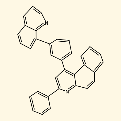 c1ccc(-c2cc(-c3cccc(-c4cccc5cccnc45)c3)c3c(ccc4ccccc43)n2)cc1